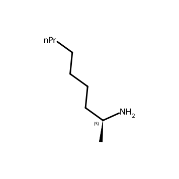 CCCCCCC[C@H](C)N